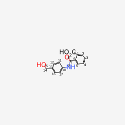 O=C(O)c1ccccc1C(=O)Nc1ccc(CO)cc1